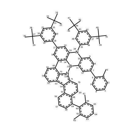 Cc1ccccc1-c1ccc2c(c1)B1c3c(cc(-c4cc(C(C)(C)C)cc(C(C)(C)C)c4)cc3N2c2cc(C(C)(C)C)cc(C(C)(C)C)c2)-c2cccc3c4c5cccc(-c6c(C)cccc6C)c5ccc4n1c23